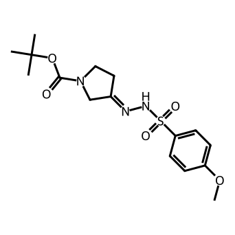 COc1ccc(S(=O)(=O)N/N=C2\CCN(C(=O)OC(C)(C)C)C2)cc1